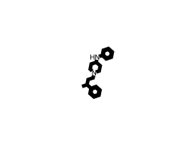 CC(CCN1CCC(Nc2ccccc2)CC1)c1ccccc1